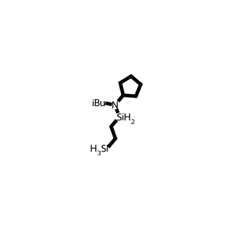 CCC(C)N([SiH2]CC[SiH3])C1CCCC1